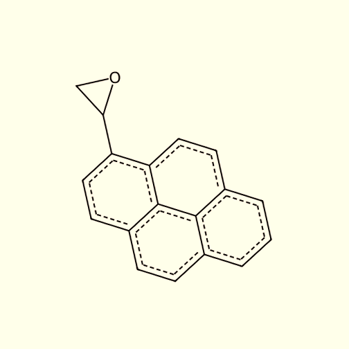 c1cc2ccc3ccc(C4CO4)c4ccc(c1)c2c34